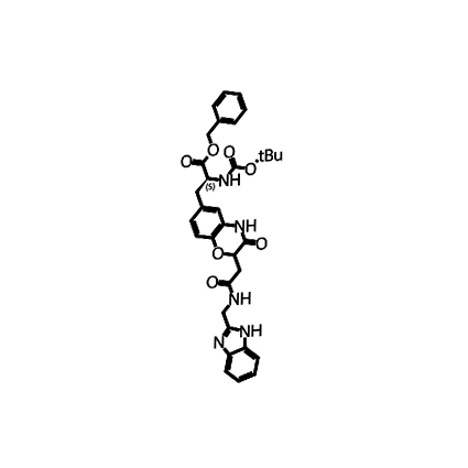 CC(C)(C)OC(=O)N[C@@H](Cc1ccc2c(c1)NC(=O)C(CC(=O)NCc1nc3ccccc3[nH]1)O2)C(=O)OCc1ccccc1